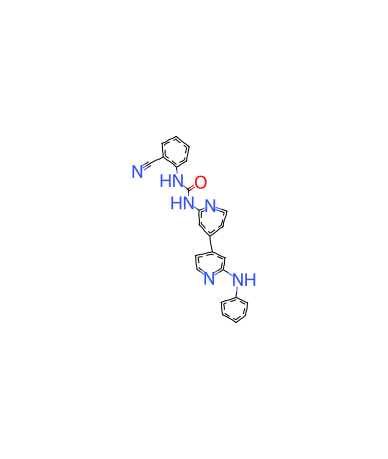 N#Cc1ccccc1NC(=O)Nc1cc(-c2ccnc(Nc3ccccc3)c2)ccn1